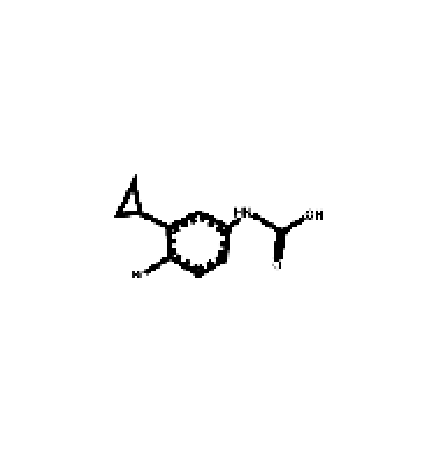 O=C(O)Nc1ccc(Br)c(C2CC2)c1